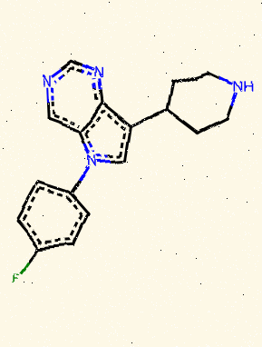 Fc1ccc(-n2cc(C3CCNCC3)c3ncncc32)cc1